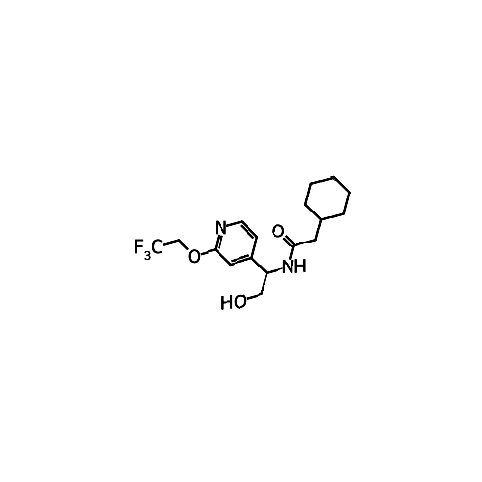 O=C(CC1CCCCC1)NC(CO)c1ccnc(OCC(F)(F)F)c1